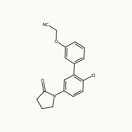 N#CCOc1cccc(-c2cc(N3CCCC3=O)ccc2Cl)c1